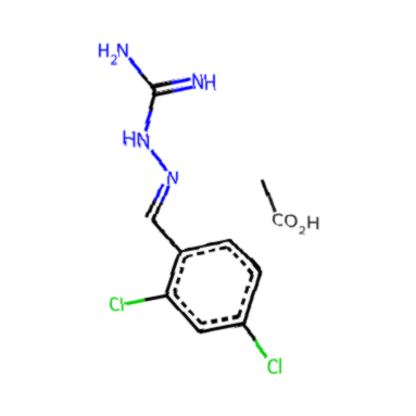 CC(=O)O.N=C(N)N/N=C/c1ccc(Cl)cc1Cl